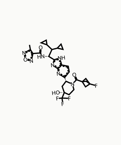 Cc1nonc1C(=O)N[C@@H](c1nc2nc([C@H]3C[C@](O)(C(F)(F)F)CCN3C(=O)C34CC(F)(C3)C4)ccc2[nH]1)C(C1CC1)C1CC1